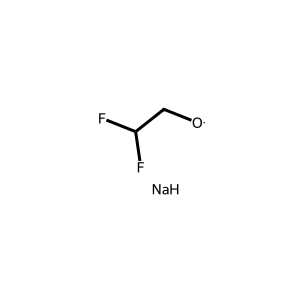 [NaH].[O]CC(F)F